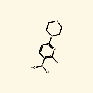 OB(O)c1ccc(N2CCOCC2)nc1F